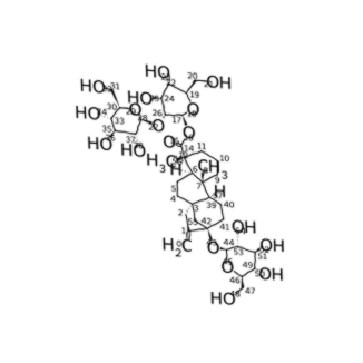 C=C1C[C@]23CC[C@@H]4[C@](C)(CCC[C@@]4(C)C(=O)O[C@@H]4O[C@H](CO)[C@@H](O)[C@H](O)[C@H]4O[C@@H]4O[C@H](CO)[C@@H](O)[C@H](O)[C@H]4O)[C@H]2CC[C@@]1(O[C@@H]1O[C@H](CO)[C@@H](O)[C@H](O)[C@H]1O)C3